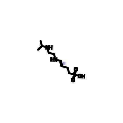 CC(C)NCCN/C=C/CCS(=O)(=O)O